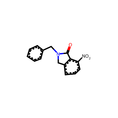 O=C1c2c(cccc2[N+](=O)[O-])CN1Cc1ccccc1